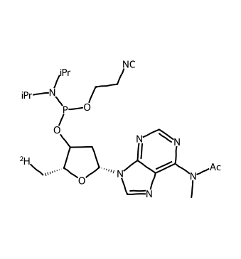 [2H]C[C@H]1O[C@@H](n2cnc3c(N(C)C(C)=O)ncnc32)CC1OP(OCC[N+]#[C-])N(C(C)C)C(C)C